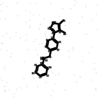 Cc1onc(-c2ccc(CNc3cnccn3)cc2)c1C